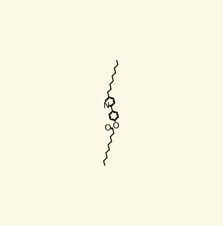 CCCCCCCCCC(=O)Oc1ccc(-c2ccc(CCCCCCCCC)cn2)cc1